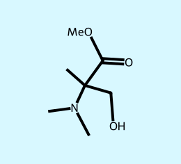 COC(=O)C(C)(CO)N(C)C